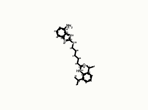 CC(C)c1cccc(C(C)C)c1NC(=O)CCCCCSc1nc2c(N)cccc2o1